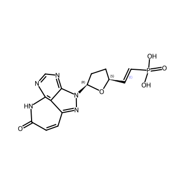 O=C1C=Cc2nn([C@H]3CC[C@@H](/C=C/P(=O)(O)O)O3)c3ncnc(c23)N1